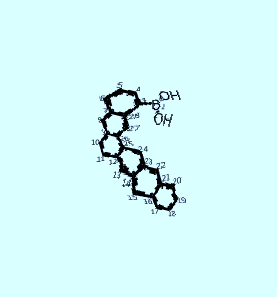 OB(O)c1cccc2cc3ccc4cc5cc6ccccc6cc5cc4c3cc12